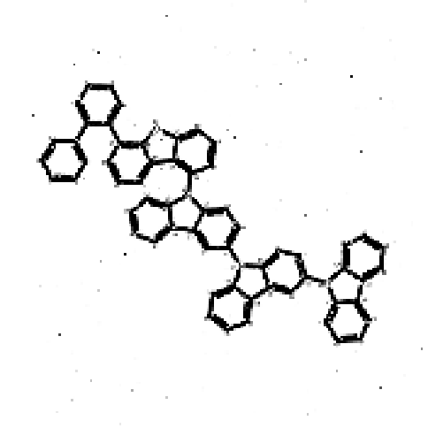 c1ccc(-c2ccccc2-c2cccc3c2oc2cccc(-n4c5ccccc5c5cc(-n6c7ccccc7c7cc(-n8c9ccccc9c9ccccc98)ccc76)ccc54)c23)cc1